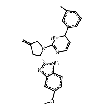 C=C1C[C@@H](c2nc3cc(OC)ccc3[nH]2)N(C2=NC=[C]C(c3cccc(C)c3)N2)C1